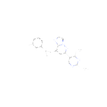 COc1ncc(-c2cc([C@H]3C[C@H]3c3cccc(C(=O)O)c3)c3nccn3n2)c(OC)n1